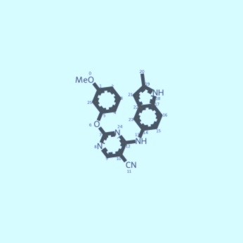 COc1cccc(Oc2ncc(C#N)c(Nc3ccc4[nH]c(C)cc4c3)n2)c1